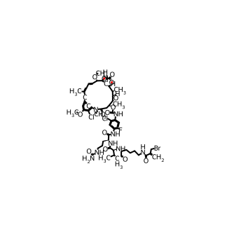 C=C(CBr)C(=O)NCCCCC(C=O)N[C@H](C(=O)N[C@@H](CCCNC(N)=O)C(=O)Nc1cc(Cl)c(NC(=O)O[C@H]2CC(=O)N(C)c3cc(cc(OC)c3Cl)C/C(C)=C/C=C/[C@@H](OC)[C@@]3(O)C[C@H](OC(=O)N3)[C@@H](C)[C@@H]3O[C@@]23C)cc1F)C(C)C